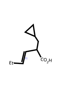 CC/C=C/C(CC1CC1)C(=O)O